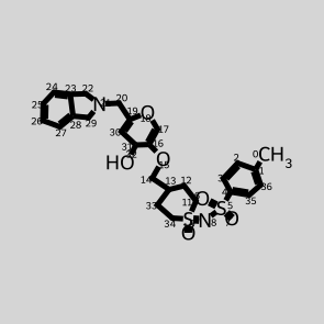 Cc1ccc(S(=O)(=O)N=S2(=O)CCC(COC3=COC(CN4Cc5ccccc5C4)=CC3O)CC2)cc1